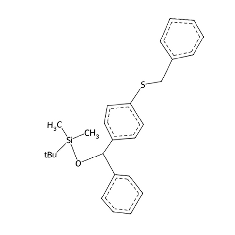 CC(C)(C)[Si](C)(C)OC(c1ccccc1)c1ccc(SCc2ccccc2)cc1